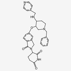 O=C1CCC(N2Cc3cc(OC4CN(Cc5ccccc5)CCC4NCc4ccncc4)ccc3C2=O)C(=O)N1